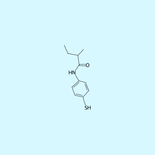 CCC(C)C(=O)Nc1ccc(S)cc1